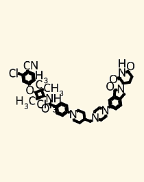 CC1(C)[C@H](NC(=O)c2ccc(N3CCC(CN4CCN(c5ccc6c(c5)C(=O)N(C5CCC(=O)NC5=O)C6)CC4)CC3)cc2)C(C)(C)[C@H]1Oc1ccc(C#N)c(Cl)c1